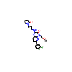 CCOCCn1c(=O)c(NCCCN2CCCC2=O)nc2ccc(-c3ccc(F)c(F)c3)nc21